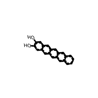 Oc1[c]c2cc3cc4cc5ccccc5cc4cc3cc2cc1O